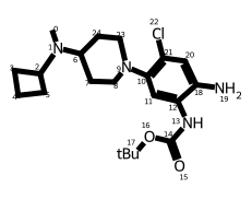 CN(C1CCC1)C1CCN(c2cc(NC(=O)OC(C)(C)C)c(N)cc2Cl)CC1